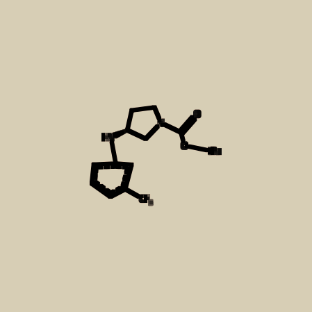 CC(C)(C)OC(=O)N1CC[C@H](Nc2cccc(C(F)(F)F)c2)C1